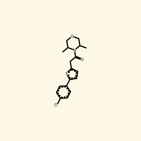 CC1COCC(C)N1C(=O)Cc1ccc(-c2ccc(Cl)cc2)s1